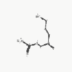 CC(CCCO)COC(N)=O